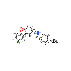 CC(C)(C)c1ccc(CNc2ccc3oc4ccc(F)cc4c3c2)cc1